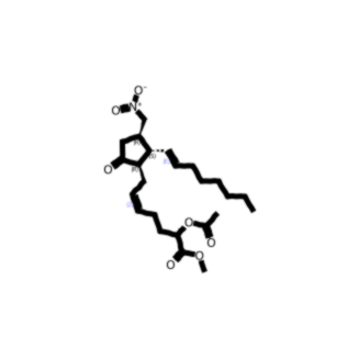 CCCCCC/C=C/[C@H]1[C@H](C[N+](=O)[O-])CC(=O)[C@@H]1C/C=C\CCC(OC(C)=O)C(=O)OC